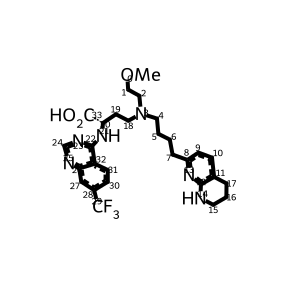 COCCN(CCCCc1ccc2c(n1)NCCC2)CC[C@H](Nc1ncnc2cc(C(F)(F)F)ccc12)C(=O)O